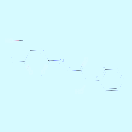 NC(=O)[C@H](CO)NC(=O)NNC(=O)[C@@H](O)c1ccccc1